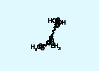 COC(=O)C=Cc1ccc(OOCCCCCCc2ccc(O)c(C(=O)O)c2)c(OC)c1